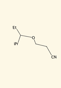 CCC(OCCC#N)C(C)C